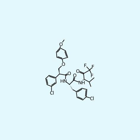 COc1ccc(OC[C@@H](C(=O)N[C@@H](Cc2ccc(Cl)cc2)C(=O)N[C@H](C(=O)C(F)(F)F)C(C)C)c2cccc(Cl)c2)cc1